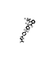 CN(c1ccccc1C(=O)Nc1ccc(S(=O)(=O)N2CCN(c3nc(C(F)F)cs3)CC2)nn1)S(C)(=O)=O